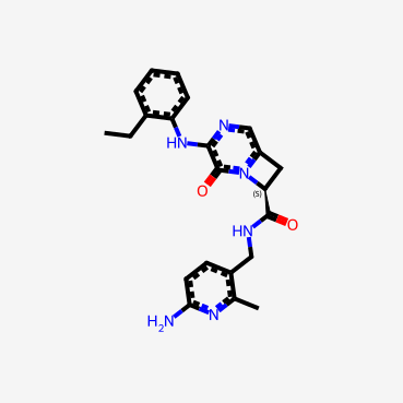 CCc1ccccc1Nc1ncc2n(c1=O)[C@H](C(=O)NCc1ccc(N)nc1C)C2